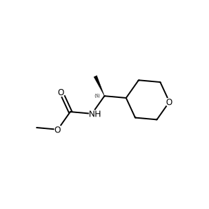 COC(=O)N[C@@H](C)C1CCOCC1